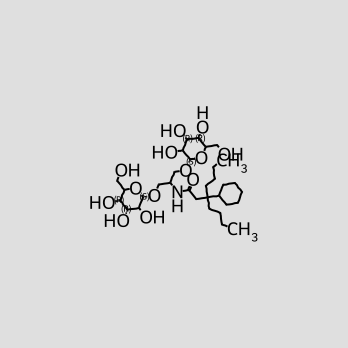 CCCCC(CCCC)(CC(=O)NC(CO[C@H]1OC(CO)[C@H](O)[C@@H](O)C1O)CO[C@H]1OC(CO)[C@H](O)[C@@H](O)C1O)C1CCCCC1